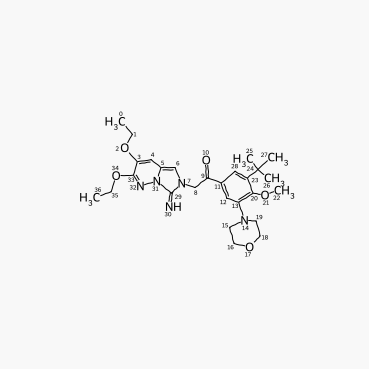 CCOc1cc2cn(CC(=O)c3cc(N4CCOCC4)c(OC)c(C(C)(C)C)c3)c(=N)n2nc1OCC